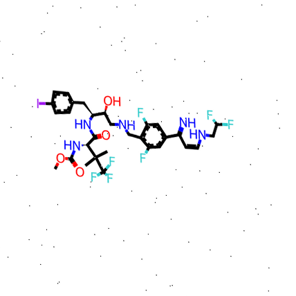 COC(=O)N[C@H](C(=O)N[C@@H](Cc1ccc(I)cc1)[C@@H](O)CNCc1c(F)cc(C(=N)/C=C\NCC(F)F)cc1F)C(C)(C)C(F)(F)F